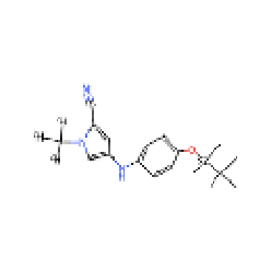 [2H]C([2H])([2H])n1cc(Nc2ccc(O[Si](C)(C)C(C)(C)C)cc2)cc1C#N